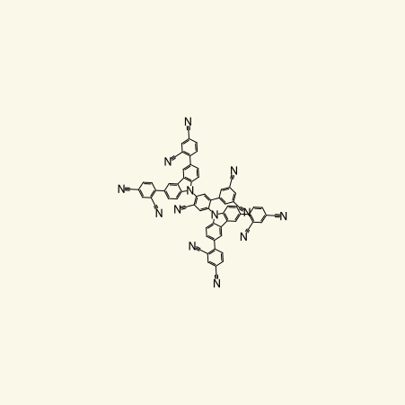 N#Cc1cc(C#N)cc(-c2cc(-n3c4ccc(-c5ccc(C#N)cc5C#N)cc4c4cc(-c5ccc(C#N)cc5C#N)ccc43)c(C#N)cc2-n2c3ccc(-c4ccc(C#N)cc4C#N)cc3c3cc(-c4ccc(C#N)cc4C#N)ccc32)c1